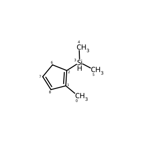 CC1=C([SiH](C)C)CC=C1